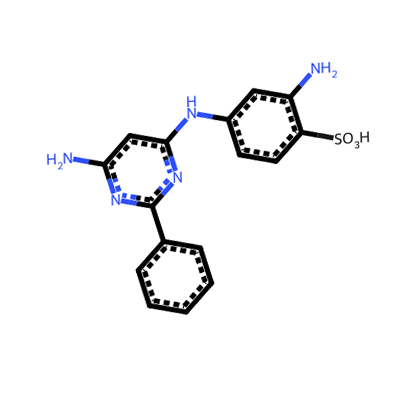 Nc1cc(Nc2ccc(S(=O)(=O)O)c(N)c2)nc(-c2ccccc2)n1